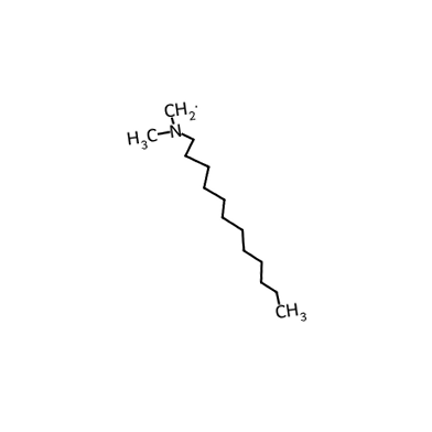 [CH2]N(C)CCCCCCCCCCCC